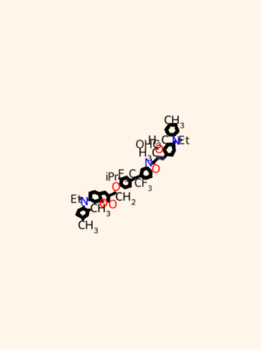 C=C(Oc1ccc(C(c2ccc3oc(/C(C)=C/c4ccc(N(CC)c5ccc(C)cc5C)cc4OC=O)nc3c2)(C(F)(F)F)C(F)(F)F)cc1C(C)C)c1cc2ccc(N(CC)c3ccc(C)cc3C)cc2oc1=O